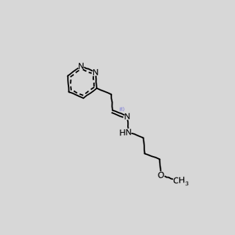 COCCCN/N=C/Cc1cccnn1